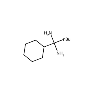 CCCCC(N)(N)C1CCCCC1